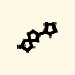 C1=C(c2nnco2)CCC12CCNC2